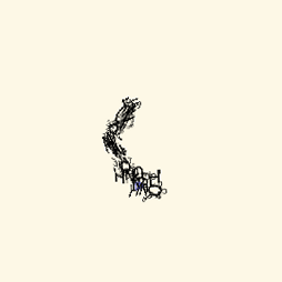 Cc1cccc(C)c1N/C(S)=N/C(=O)Nc1ccc(-c2ncn(-c3ccc(OC(F)(F)F)cc3)n2)cc1